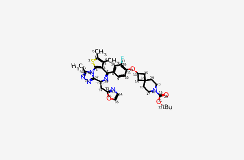 Cc1sc2c(c1C)C(c1ccc(OC3CC4(CCN(C(=O)OC(C)(C)C)CC4)C3)c(F)c1)=N[C@@H](Cc1ncco1)c1nnc(C)n1-2